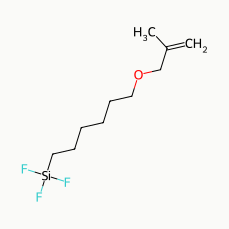 C=C(C)COCCCCCC[Si](F)(F)F